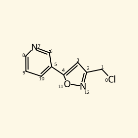 ClCc1cc(-c2[c]nccc2)on1